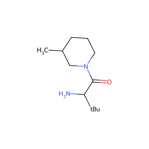 CC1CCCN(C(=O)C(N)C(C)(C)C)C1